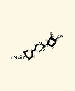 CCCCCCCCC[C@H]1CC[C@H]([C@H]2CO[C@H](c3ccc(C#N)c(F)c3)OC2)CC1